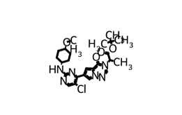 CO[C@H]1CC[C@H](Nc2ncc(Cl)c(-c3cc4c(=O)n(C(C)C(=O)OC(C)(C)C)cnn4c3)n2)CC1